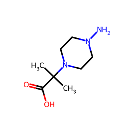 CC(C)(C(=O)O)N1CCN(N)CC1